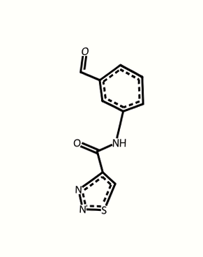 O=Cc1cccc(NC(=O)c2csnn2)c1